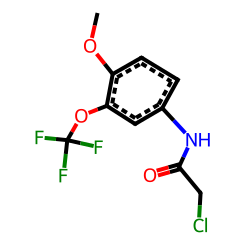 COc1ccc(NC(=O)CCl)cc1OC(F)(F)F